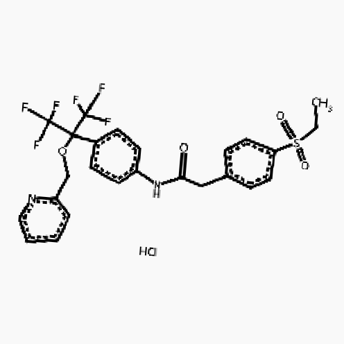 CCS(=O)(=O)c1ccc(CC(=O)Nc2ccc(C(OCc3ccccn3)(C(F)(F)F)C(F)(F)F)cc2)cc1.Cl